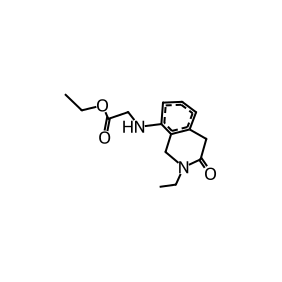 CCOC(=O)CNc1cccc2c1CN(CC)C(=O)C2